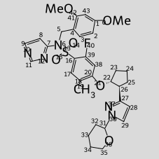 COc1ccc(CN(c2ccncn2)S(=O)(=O)c2cc(C)c(O[C@@H]3CCC[C@H]3c3ccn(C4CCCCO4)n3)cc2F)c(OC)c1